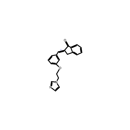 O=C1/C(=C/c2cccc(OCCn3ccnc3)c2)Cc2ccccc21